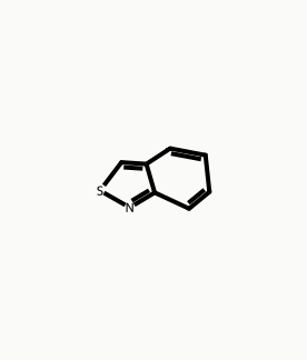 [c]1cccc2nscc12